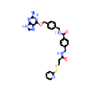 Nc1nc(OCc2ccc(CNC(=O)c3ccc(CNC(=O)CCSSc4ccccn4)cc3)cc2)c2nc[nH]c2n1